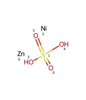 O=S(=O)(O)O.[Ni].[Zn]